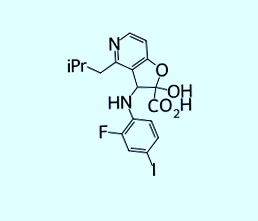 CC(C)Cc1nccc2c1C(Nc1ccc(I)cc1F)C(O)(C(=O)O)O2